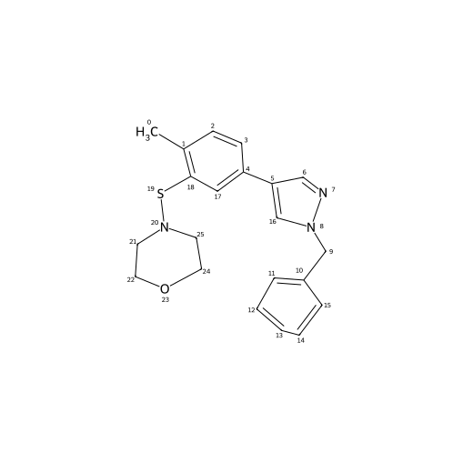 Cc1ccc(-c2cnn(Cc3ccccc3)c2)cc1SN1CCOCC1